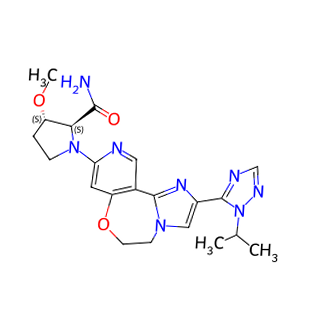 CO[C@H]1CCN(c2cc3c(cn2)-c2nc(-c4ncnn4C(C)C)cn2CCO3)[C@@H]1C(N)=O